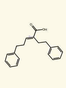 O=C(O)/C(=C/CCc1ccccc1)CCc1ccccc1